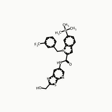 C[Si](C)(C)c1ccc2cc(C(=O)Nc3cnc4sc(CO)nc4c3)n(Cc3cccc(C(F)(F)F)c3)c2c1